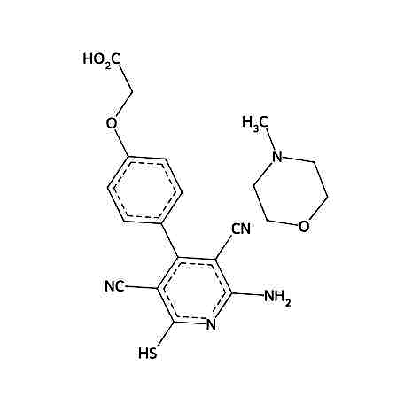 CN1CCOCC1.N#Cc1c(N)nc(S)c(C#N)c1-c1ccc(OCC(=O)O)cc1